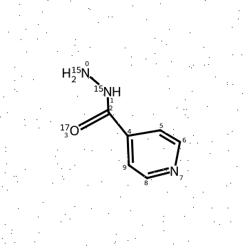 [15NH2][15NH]C(=[17O])c1ccncc1